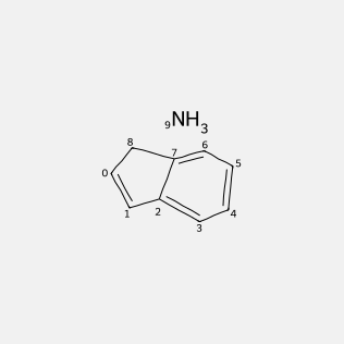 C1=Cc2ccccc2C1.N